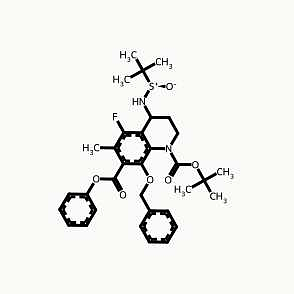 Cc1c(F)c2c(c(OCc3ccccc3)c1C(=O)Oc1ccccc1)N(C(=O)OC(C)(C)C)CCC2N[S@+]([O-])C(C)(C)C